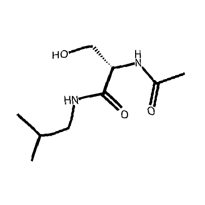 CC(=O)N[C@@H](CO)C(=O)NCC(C)C